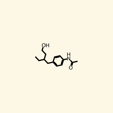 CCC(CCO)Cc1ccc(NC(C)=O)cc1